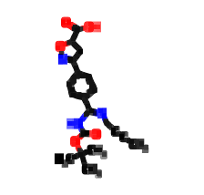 CCCCN=C(NC(=O)OC(C)(C)C)c1ccc(C2=NOC(C(=O)O)C2)cc1